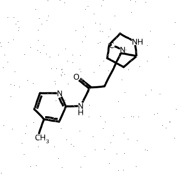 Cc1ccnc(NC(=O)CN2CC3CCC(C2)NC3)c1